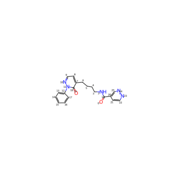 O=C(NCCCCc1ccnn(-c2ccccc2)c1=O)c1ccnnc1